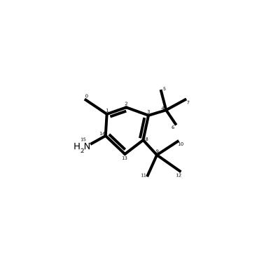 Cc1cc(C(C)(C)C)c(C(C)(C)C)cc1N